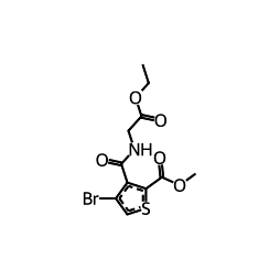 CCOC(=O)CNC(=O)c1c(Br)csc1C(=O)OC